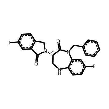 O=C1[C@@H](N2Cc3ccc(I)cc3C2=O)CNc2ccc(F)cc2N1Cc1ccccc1